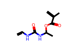 C=CNC(=O)NC(C)OC(=O)C(=C)C